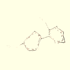 COc1ccc(-c2ncccc2C(C)C)nc1